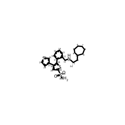 C[C@@H](CC1CCCCCC1)NCc1ccccc1-c1sc(S(N)(=O)=O)cc1-c1ccsc1